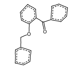 O=C(c1ccccc1)c1ccccc1OCc1ccccc1